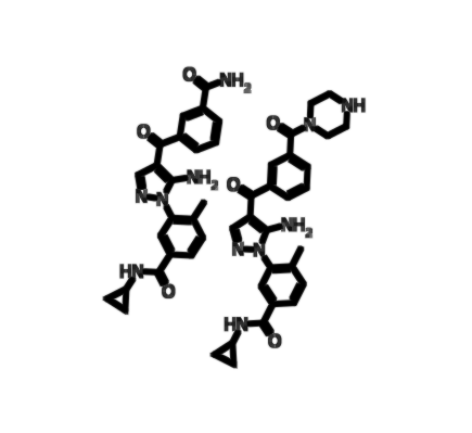 Cc1ccc(C(=O)NC2CC2)cc1-n1ncc(C(=O)c2cccc(C(=O)N3CCNCC3)c2)c1N.Cc1ccc(C(=O)NC2CC2)cc1-n1ncc(C(=O)c2cccc(C(N)=O)c2)c1N